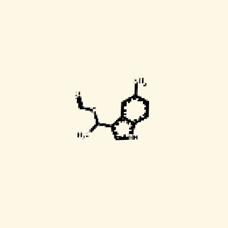 CC(OC=O)c1c[nH]c2ccc(N)cc12